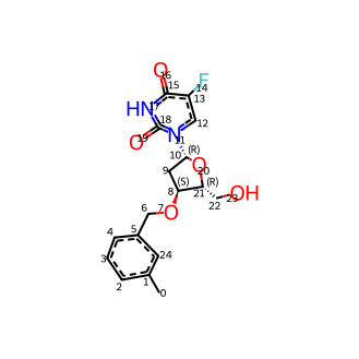 Cc1cccc(CO[C@H]2C[C@H](n3cc(F)c(=O)[nH]c3=O)O[C@@H]2CO)c1